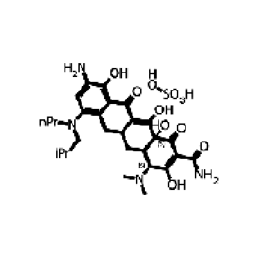 CCCN(CC(C)C)c1cc(N)c(O)c2c1CC1CC3[C@H](N(C)C)C(O)=C(C(N)=O)C(=O)[C@@]3(O)C(O)=C1C2=O.O=S(=O)(O)O